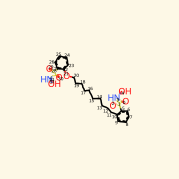 O=S(=O)(NO)c1ccccc1CCCCCCCCCCOc1ccccc1S(=O)(=O)NO